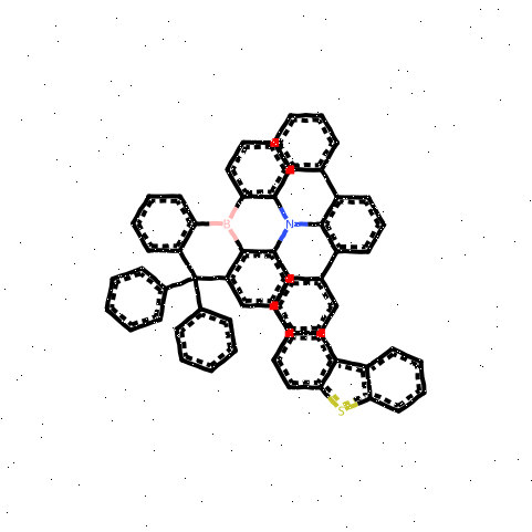 c1ccc(-c2cccc(-c3ccccc3)c2N2c3ccccc3B3c4ccccc4C(c4ccccc4)(c4ccccc4)c4cc(-c5ccc6sc7ccccc7c6c5)cc2c43)cc1